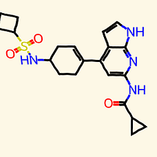 O=C(Nc1cc(C2=CCC(NS(=O)(=O)C3CCC3)CC2)c2cc[nH]c2n1)C1CC1